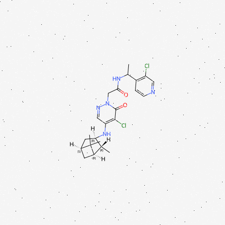 CC(NC(=O)Cn1ncc(N[C@@H]2C[C@@H]3C[C@H]([C@H]2C)C3(C)C)c(Cl)c1=O)c1ccncc1Cl